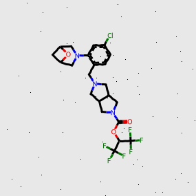 O=C(OC(C(F)(F)F)C(F)(F)F)N1CC2CN(Cc3ccc(Cl)cc3N3CC4CC(C3)O4)CC2C1